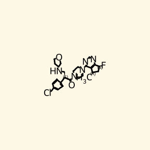 C[C@@H]1C[C@H](F)c2ncnc(N3CCN(C(=O)[C@H](CNC4CCOC4)c4ccc(Cl)cc4)CC3)c21